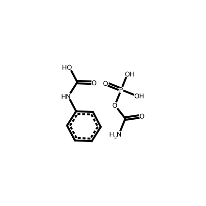 NC(=O)OP(=O)(O)O.O=C(O)Nc1ccccc1